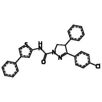 O=C(Nc1cc(-c2ccccc2)cs1)N1CC(c2ccccc2)C(c2ccc(Cl)cc2)=N1